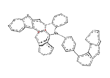 c1ccc(N(c2ccc(-c3cccc4oc5ccccc5c34)cc2)c2cccc3ccccc23)c(-c2ccc3c(c2)sc2ccccc23)c1